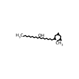 CCCCCCCCCCC(O)CCCCCCCC1CC1CC1CC1CC1CC1CC